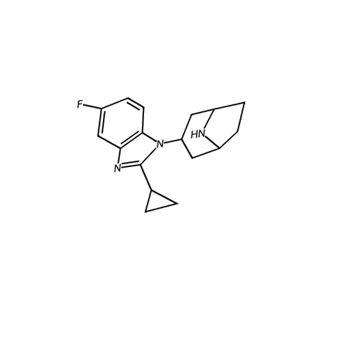 Fc1ccc2c(c1)nc(C1CC1)n2C1CC2CCC(C1)N2